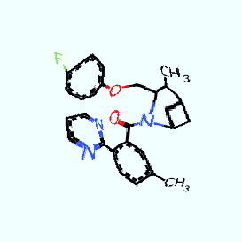 Cc1ccc(-c2ncccn2)c(C(=O)N2C3CC(C3)C(C)C2COc2ccc(F)cc2)c1